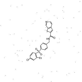 CCc1cc(Cl)ccc1S(=O)(=O)c1ccc(CNC(=O)c2cc3ccncc3s2)cc1